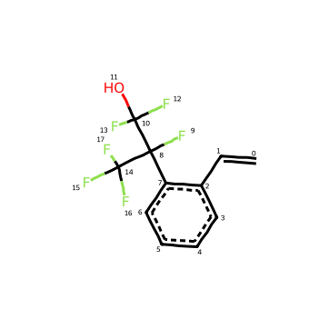 C=Cc1ccccc1C(F)(C(O)(F)F)C(F)(F)F